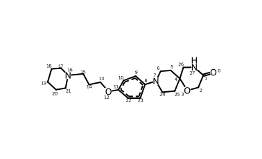 O=C1COC2(CCN(c3ccc(OCCCN4CCCCC4)cc3)CC2)CN1